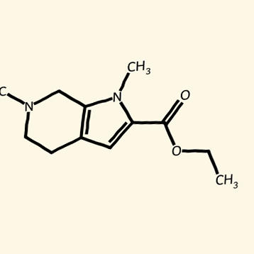 CCOC(=O)c1cc2c(n1C)CN(C)CC2